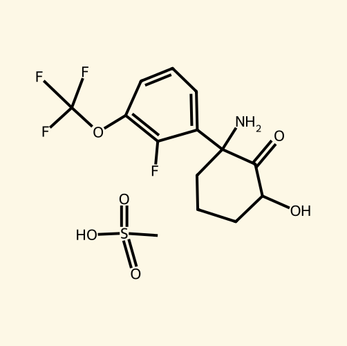 CS(=O)(=O)O.NC1(c2cccc(OC(F)(F)F)c2F)CCCC(O)C1=O